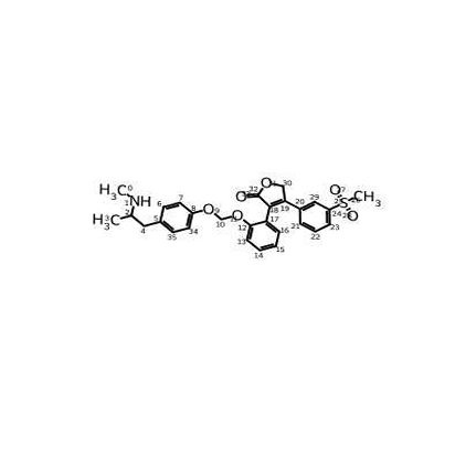 CNC(C)Cc1ccc(OCOc2ccccc2C2=C(c3cccc(S(C)(=O)=O)c3)COC2=O)cc1